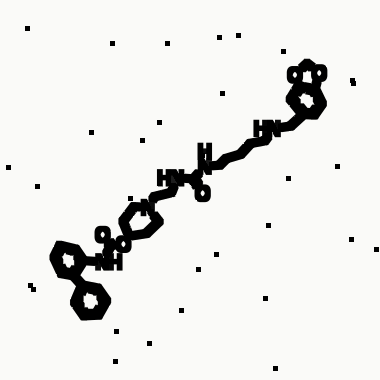 O=C(NCCCCCNCc1ccc2c(c1)OCO2)NCCN1CCC(OC(=O)Nc2ccccc2-c2ccccc2)CC1